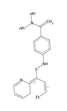 C=C(c1ccc(NSC(/C=C\CC)=C2/CC=CC=N2)cc1)N(CCC)CCC